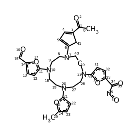 CC(=O)C1=CC=C(N2CCN(c3ccc(C=O)o3)CCN(c3ccc(C)o3)CCN(c3ccc(C(=O)N=O)o3)CC2)C1